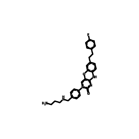 NCCCNCc1ccc(-n2cc3c(nc2=O)Nc2ccc(CCc4ccc(F)cc4)cc2O3)cc1